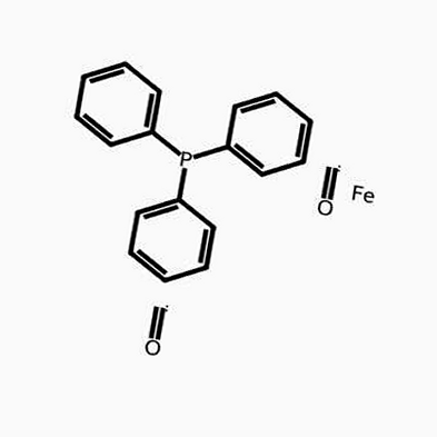 [C]=O.[C]=O.[Fe].c1ccc(P(c2ccccc2)c2ccccc2)cc1